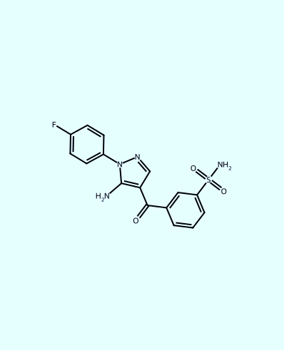 Nc1c(C(=O)c2cccc(S(N)(=O)=O)c2)cnn1-c1ccc(F)cc1